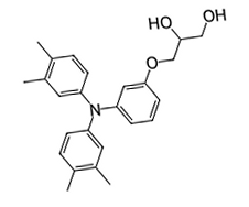 Cc1ccc(N(c2cccc(OCC(O)CO)c2)c2ccc(C)c(C)c2)cc1C